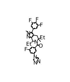 CCC1c2nn(C)c(-c3cc(F)c(F)c(F)c3)c2CC(C)(CC)N1C(=O)c1cc(F)cc(-n2cnnc2)c1